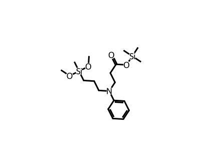 CO[Si](C)(CCCN(CCC(=O)O[Si](C)(C)C)c1ccccc1)OC